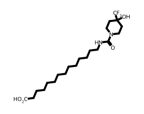 O=C(O)CCCCCCCCCCCCCNC(=O)N1CCC(O)(C(F)(F)F)CC1